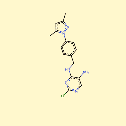 Cc1cc(C)n(-c2ccc(CNc3nc(Cl)ncc3N)cc2)n1